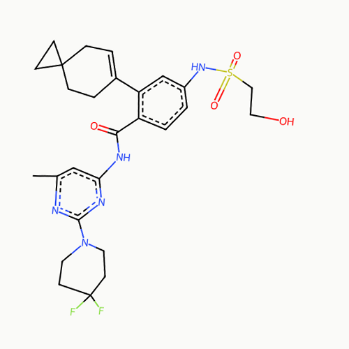 Cc1cc(NC(=O)c2ccc(NS(=O)(=O)CCO)cc2C2=CCC3(CC2)CC3)nc(N2CCC(F)(F)CC2)n1